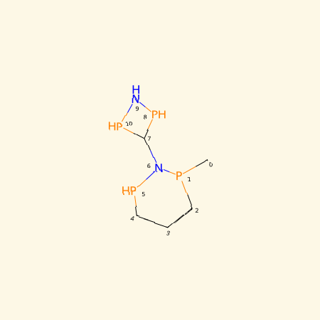 CP1CCCPN1C1PNP1